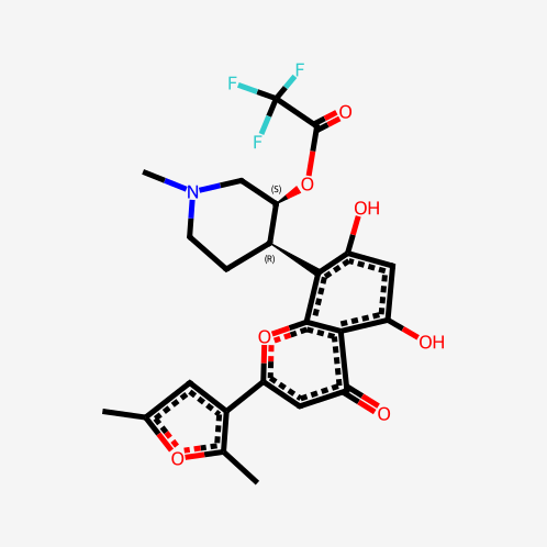 Cc1cc(-c2cc(=O)c3c(O)cc(O)c([C@H]4CCN(C)C[C@H]4OC(=O)C(F)(F)F)c3o2)c(C)o1